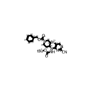 CC(C)(C)OC(=O)NN(c1nc(C#N)ncc1Br)C1CCN(C(=O)OCc2ccccc2)CC1